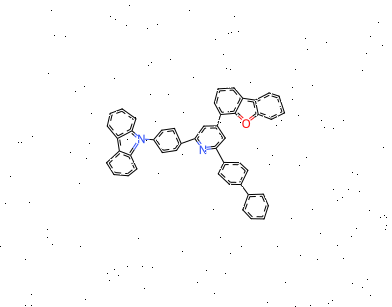 c1ccc(-c2ccc(-c3cc(-c4cccc5c4oc4ccccc45)cc(-c4ccc(-n5c6ccccc6c6ccccc65)cc4)n3)cc2)cc1